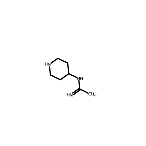 [CH2]C(=N)NC1CCNCC1